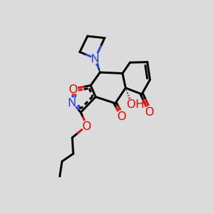 CCCCOc1noc2c1C(=O)[C@]1(O)C(=O)C=CCC1[C@@H]2N1CCC1